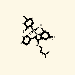 Cc1ccc(S(=O)(=O)n2c(-c3ccccc3)c(OCCN(C)C)c3cc(Cl)cc(Br)c32)c(Br)c1